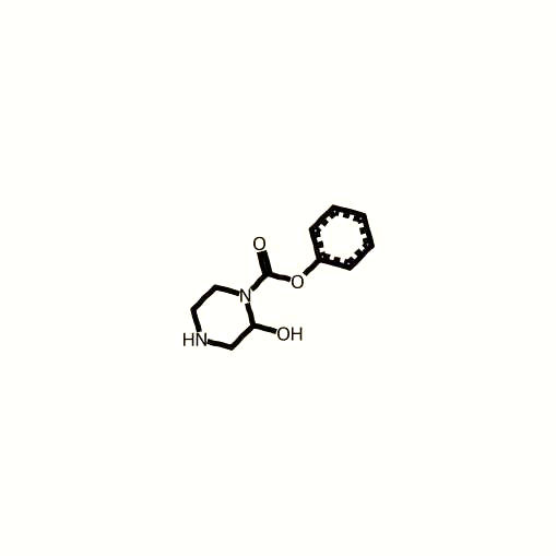 O=C(Oc1ccccc1)N1CCNCC1O